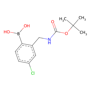 CC(C)(C)OC(=O)NCc1cc(Cl)ccc1B(O)O